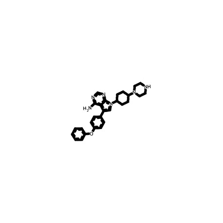 Nc1ncnc2c1c(-c1ccc(Oc3ccccc3)cc1)cn2C1CCC(N2CCNCC2)CC1